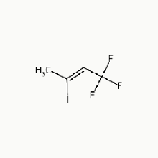 C/C(I)=C/C(F)(F)F